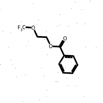 O=C(OCCOC(F)(F)F)c1ccccc1